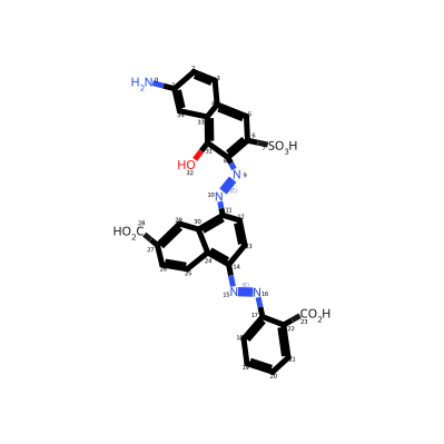 Nc1ccc2cc(S(=O)(=O)O)c(/N=N/c3ccc(/N=N/c4ccccc4C(=O)O)c4ccc(C(=O)O)cc34)c(O)c2c1